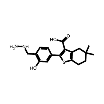 CC1(C)CCc2sc(-c3ccc(CNN)c(O)c3)c(C(=O)O)c2C1